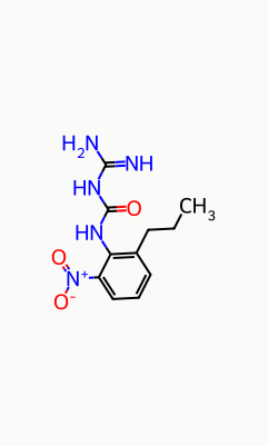 CCCc1cccc([N+](=O)[O-])c1NC(=O)NC(=N)N